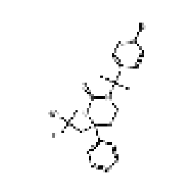 CCC(C)(O)CC1(c2ccccc2)CCN(C(C)(C)c2ccc(Br)cc2)C(=O)O1